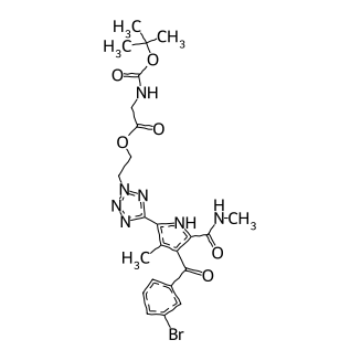 CNC(=O)c1[nH]c(-c2nnn(CCOC(=O)CNC(=O)OC(C)(C)C)n2)c(C)c1C(=O)c1cccc(Br)c1